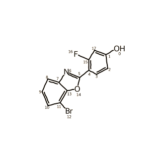 Oc1ccc(-c2nc3cccc(Br)c3o2)c(F)c1